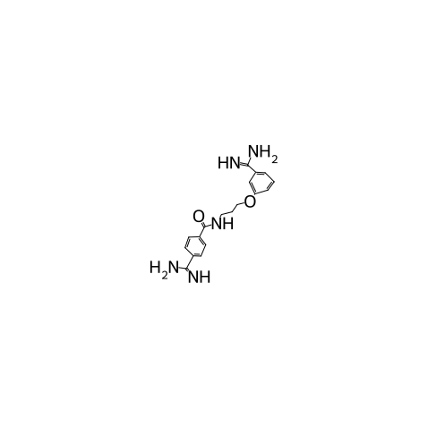 N=C(N)c1ccc(C(=O)NCCCOc2cccc(C(=N)N)c2)cc1